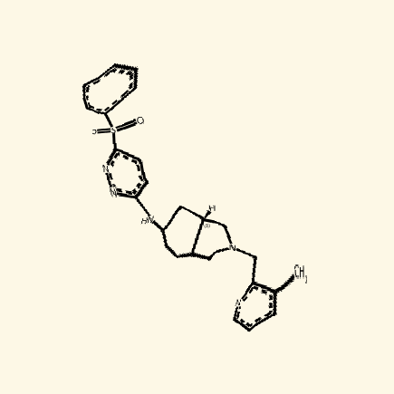 Cc1cccnc1CN1CC2CC(Nc3ccc(S(=O)(=O)c4ccccc4)nn3)C[C@@H]2C1